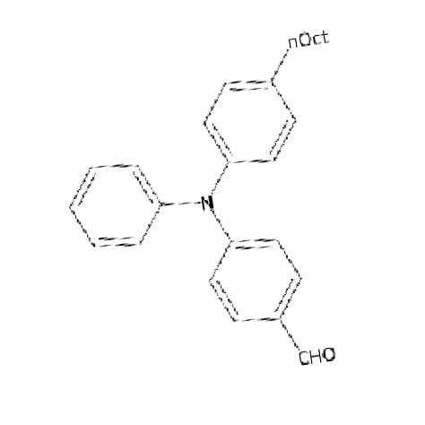 CCCCCCCCc1ccc(N(c2ccccc2)c2ccc(C=O)cc2)cc1